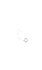 CP(C)(=O)C(F)(F)C[C@@H](O)[C@@H](O)[C@@H](O)/C=N\OCc1ccccc1